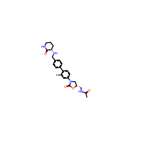 CC(=O)NC[C@H]1CN(c2ccc(-c3ccc(CN[C@H]4CCCNC4=O)cc3)c(F)c2)C(=O)O1